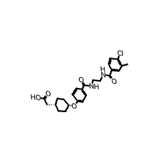 Cc1cc(C(=O)NCCNC(=O)c2ccc(O[C@H]3CC[C@@H](CC(=O)O)CC3)cc2)ccc1Cl